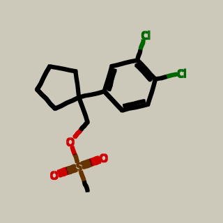 CS(=O)(=O)OCC1(c2ccc(Cl)c(Cl)c2)CCCC1